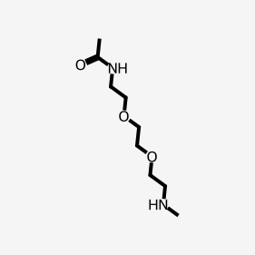 CNCCOCCOCCNC(C)=O